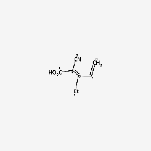 C=CC(CC)=C(C#N)C(=O)O